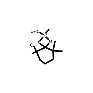 CC1(C)CCCC(C)(Cl)C12O[N+](C)(C=O)S2